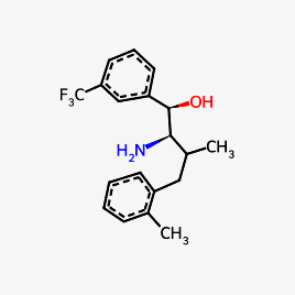 Cc1ccccc1CC(C)[C@@H](N)[C@H](O)c1cccc(C(F)(F)F)c1